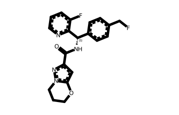 O=C(N[C@@H](c1ccc(CF)cc1)c1ncccc1F)c1cc2n(n1)CCCO2